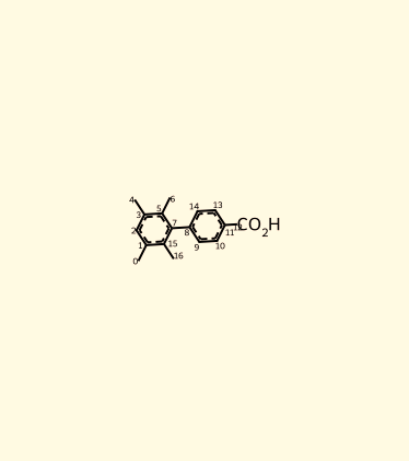 Cc1cc(C)c(C)c(-c2ccc(C(=O)O)cc2)c1C